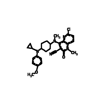 COc1ccc(N(C2CCC(N(C)c3c(C#N)c(=O)n(C)c4ccc(Cl)nc34)CC2)C2CC2)cc1